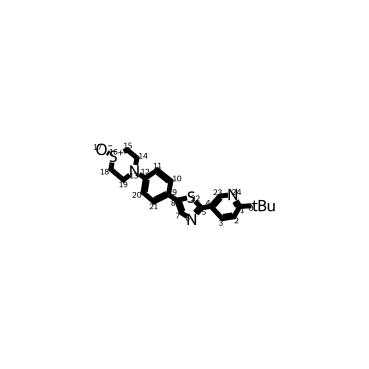 CC(C)(C)c1ccc(-c2ncc(-c3ccc(N4CC[S+]([O-])CC4)cc3)s2)cn1